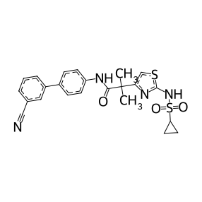 CC(C)(C(=O)Nc1ccc(-c2cccc(C#N)c2)cc1)c1csc(NS(=O)(=O)C2CC2)n1